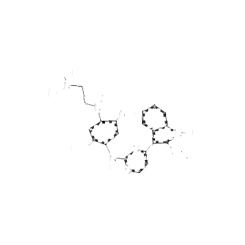 Cc1cc(N(C)CCN(C)C)c([N+](=O)[O-])cc1Nc1nccc(-c2c(C#N)n(C)c3ccccc23)n1